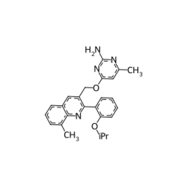 Cc1cc(OCc2cc3cccc(C)c3nc2-c2ccccc2OC(C)C)nc(N)n1